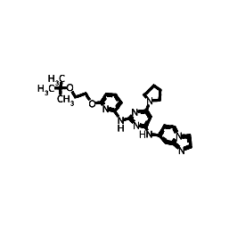 CC(C)(C)OCCOc1cccc(Nc2nc(Nc3ccn4ccnc4c3)cc(N3CCCC3)n2)n1